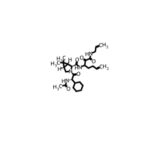 C=CCCC(NC(=O)[C@@H]1[C@@H]2[C@H](CN1C(=O)[C@@H](NC(C)=O)C1CCCCC1)C2(C)C)C(=O)C(=O)NCC=C